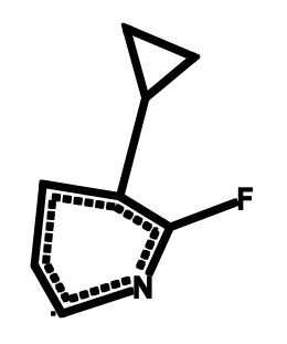 Fc1n[c]ccc1C1CC1